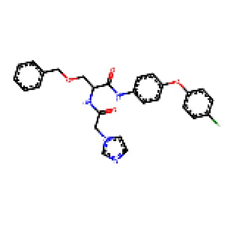 O=C(Cn1ccnc1)NC(COCc1ccccc1)C(=O)Nc1ccc(Oc2ccc(F)cc2)cc1